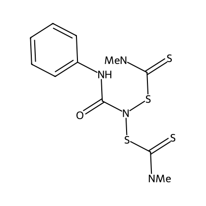 CNC(=S)SN(SC(=S)NC)C(=O)Nc1ccccc1